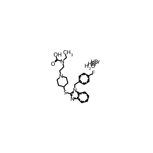 Br.Br.CCN(CCN1CCC(Sc2nc3ccccc3n2Cc2ccc(F)cc2)CC1)C(=O)O.O